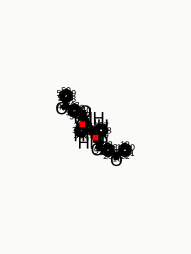 O=C(NC(NC(=O)NS(=O)(=O)c1ccc(C(=O)c2ccccc2)cc1)(c1ccccc1)c1ccccc1)NS(=O)(=O)c1ccc(C(=O)c2ccccc2)cc1